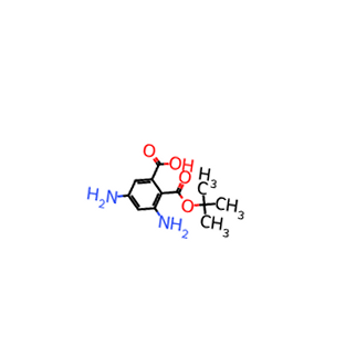 CC(C)(C)OC(=O)c1c(N)cc(N)cc1C(=O)O